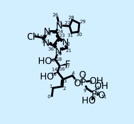 CC/C=C(/COP(=O)(O)CP(=O)(O)O)[C@@H](O)[C@H](F)[C@@H](O)n1cnc2c(N(C)C3CCCC3)nc(Cl)nc21